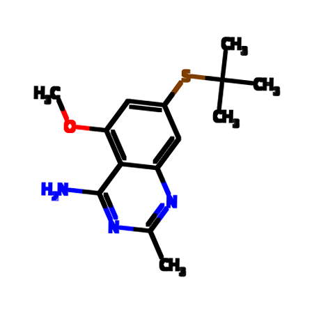 COc1cc(SC(C)(C)C)cc2nc(C)nc(N)c12